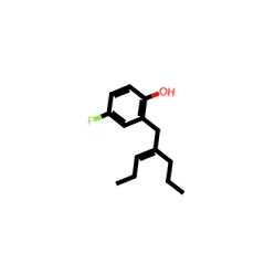 CCC=C(CCC)Cc1cc(F)ccc1O